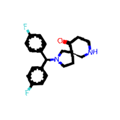 O=C1CCNC[C@]12CCN(C(c1ccc(F)cc1)c1ccc(F)cc1)C2